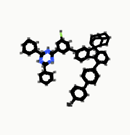 N#Cc1ccc(-c2ccc(-c3cccc4c3-c3ccc(-c5cc(F)cc(-c6nc(-c7ccccc7)nc(-c7ccccc7)n6)c5)cc3C43C4CC5CC(C4)CC3C5)cc2)cc1